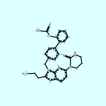 CCCc1nc2ccc(N3CCCNC3=O)nc2n1Cc1ccc(-c2ccccc2OC(=O)O)cc1